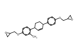 Cc1cc(OCC2CO2)ccc1C1C=CC(c2ccc(OCC3CO3)cc2)CC1